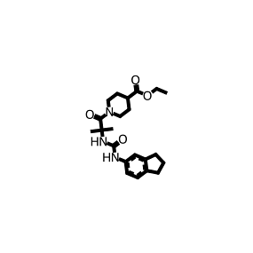 CCOC(=O)C1CCN(C(=O)C(C)(C)NC(=O)Nc2ccc3c(c2)CCC3)CC1